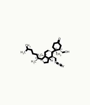 CC(C)CCC[C@@H](C)[C@H]1CC[C@H]2[C@H](CN=[N+]=[N-])[C@@H]([C@@]3(C)CCC(=O)C[C@@H]3CO)CC[C@]12C